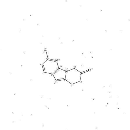 O=C1CCc2cc3ccc(Cl)nc3n2C1